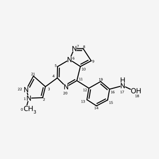 Cn1cc(-c2cn3nccc3c(-c3cccc(NO)c3)n2)cn1